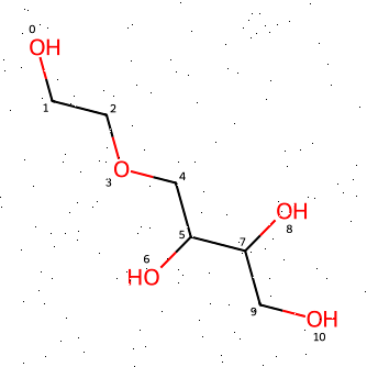 OCCOCC(O)C(O)CO